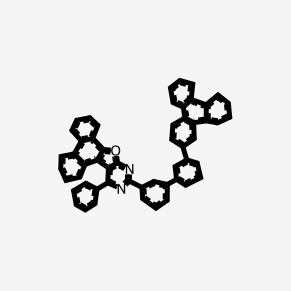 c1ccc(-c2nc(-c3cccc(-c4cccc(-c5ccc6c7ccccc7c7ccccc7c6c5)c4)c3)nc3oc4c5ccccc5c5ccccc5c4c23)cc1